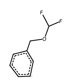 FC(F)OCc1c[c]ccc1